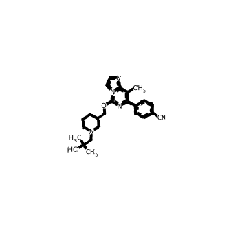 Cc1c(-c2ccc(C#N)cc2)nc(OCC2CCCN(CC(C)(C)O)C2)n2ccnc12